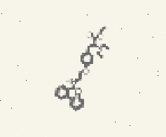 CCOC(=O)C(Cc1ccc(OCCNC(=O)c2ccccc2-c2ccccn2)cc1)N(CC)CC